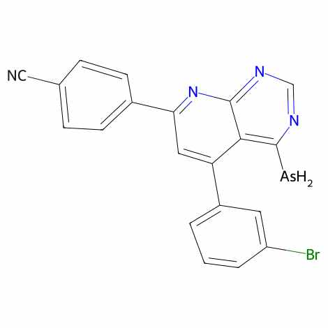 N#Cc1ccc(-c2cc(-c3cccc(Br)c3)c3c([AsH2])ncnc3n2)cc1